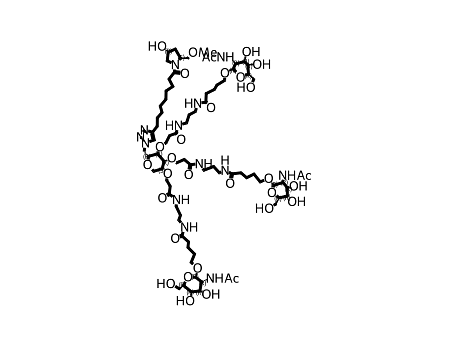 COC[C@@H]1C[C@@H](O)CN1C(=O)CCCCCCCCc1cn(C[C@H]2OC[C@H](OCCC(=O)NCCCNC(=O)CCCCO[C@@H]3O[C@H](CO)[C@H](O)[C@H](O)[C@H]3NC(C)=O)[C@@H](OCCC(=O)NCCCNC(=O)CCCCO[C@@H]3O[C@H](CO)[C@H](O)[C@H](O)[C@H]3NC(C)=O)[C@@H]2OCCC(=O)NCCCNC(=O)CCCCO[C@@H]2O[C@H](CO)[C@H](O)[C@H](O)[C@H]2NC(C)=O)nn1